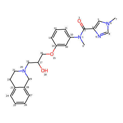 CN(C(=O)c1cn(C)cn1)c1cccc(OCC(O)CN2CCc3ccccc3C2)c1